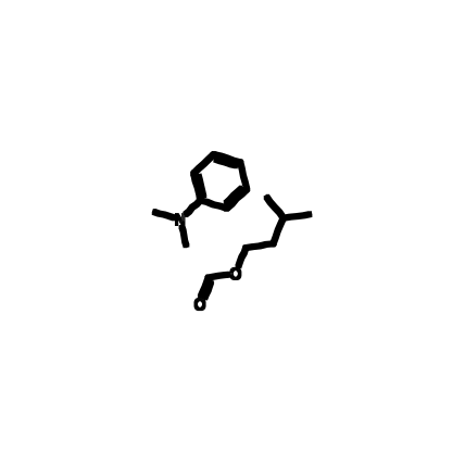 CC(C)CCOC=O.CN(C)c1ccccc1